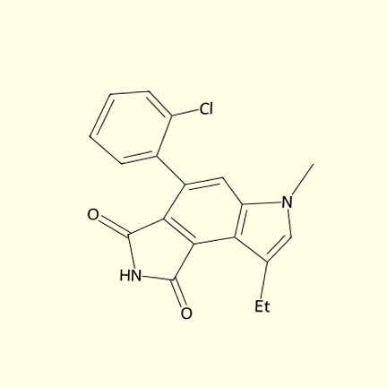 CCc1cn(C)c2cc(-c3ccccc3Cl)c3c(c12)C(=O)NC3=O